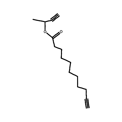 C#CCCCCCCCCC(=O)OC(C)C#C